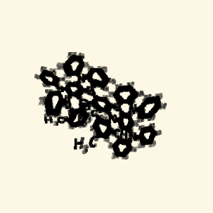 Cc1cc(C)c(N2c3cc4c(cc3B3c5ccccc5N(c5ccccc5)c5cc(N(c6ccccc6)c6ccccc6)cc2c53)B2c3ccccc3N(c3ccccc3)c3cc5c(c(c32)O4)B(c2c(C)cccc2C)c2ccccc2N5c2ccccc2)c(C)c1